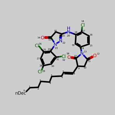 CCCCCCCCCCCCCCCCC=CC1CC(=O)N(c2ccc(Cl)c(NC3=NN(c4c(Cl)cc(Cl)cc4Cl)C(=O)C3)c2)C1=O